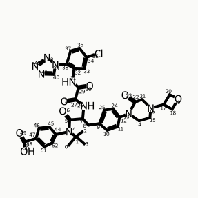 CC(C)(C)N(C(=O)C(Cc1ccc(N2CCN(C3COC3)CC2=O)cc1)NC(=O)C(=O)Nc1cc(Cl)ccc1-n1cnnn1)c1ccc(C(=O)O)cc1